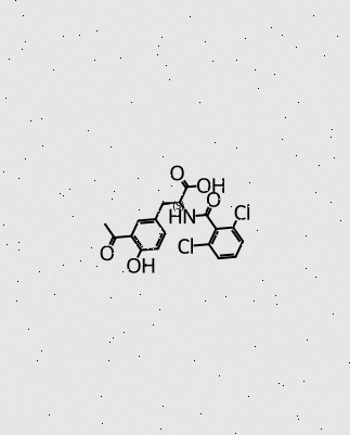 CC(=O)c1cc(C[C@H](NC(=O)c2c(Cl)cccc2Cl)C(=O)O)ccc1O